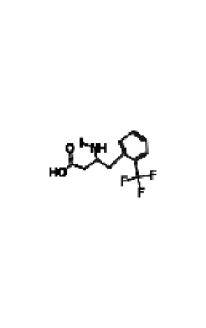 O=C(O)CC(Cc1ccccc1C(F)(F)F)NI